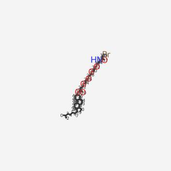 CC(C)CCC[C@@H](C)[C@H]1CCC2C3CC=C4CC(OC(=O)CCOCCOCCOCCOCCNC(=O)CBr)CC[C@]4(C)C3CC[C@@]21C